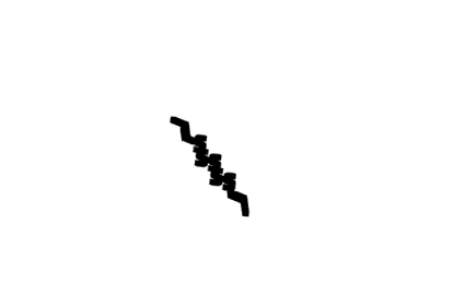 CC=CSSSSSC=CC